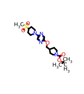 CC(C)(C)OC(=O)N1CCC(COc2cnc(N3CCC(S(C)(=O)=O)CC3)cn2)CC1